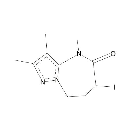 Cc1nn2c(c1C)N(C)C(=O)C(I)CC2